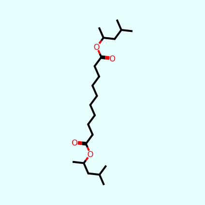 CC(C)CC(C)OC(=O)CCCCCCCCC(=O)OC(C)CC(C)C